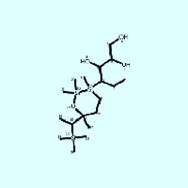 CCC(C(O)C(O)CO)[Si]1(C)CCC(C)(C(C)[Si](C)(C)C)O[Si]1(C)C